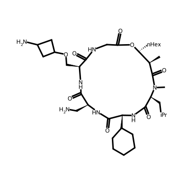 CCCCCC[C@H]1OC(=O)CNC(=O)[C@H](COC2CC(N)C2)NC(=O)[C@H](CN)NC(=O)[C@H](C2CCCCC2)NC(=O)[C@H](CC(C)C)N(C)C(=O)[C@@H]1C